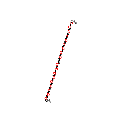 COCCOCCOCCOCCOCCOCCOCCOCCOCCCCOCCOCCOCCOCCOCCOCCOCCOCCOC